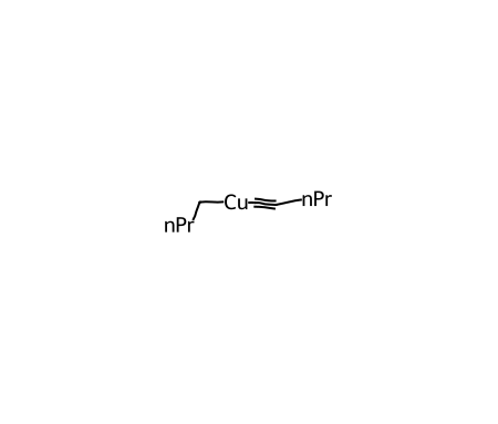 CCCC#[C][Cu][CH2]CCC